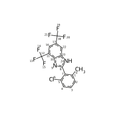 Cc1cccc(Cl)c1-c1nc2c(C(F)(F)F)cc(C(F)(F)F)cc2[nH]1